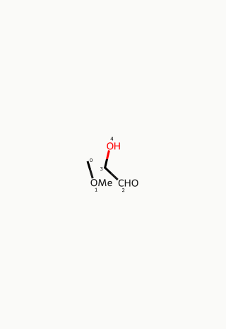 COC.O=CCO